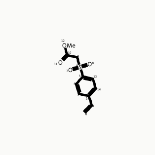 C=Cc1ccc(S(=O)(=O)CC(=O)OC)cc1